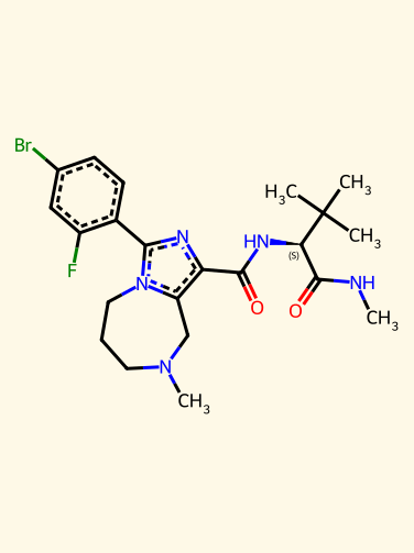 CNC(=O)[C@@H](NC(=O)c1nc(-c2ccc(Br)cc2F)n2c1CN(C)CCC2)C(C)(C)C